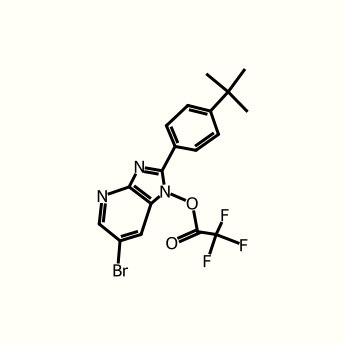 CC(C)(C)c1ccc(-c2nc3ncc(Br)cc3n2OC(=O)C(F)(F)F)cc1